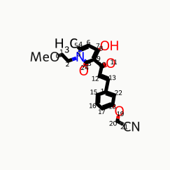 COCCn1c(C)cc(O)c(C(=O)C=Cc2cccc(OCC#N)c2)c1=O